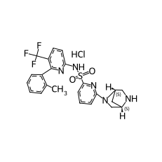 Cc1ccccc1-c1nc(NS(=O)(=O)c2cccc(N3C[C@@H]4C[C@H]3CN4)n2)ccc1C(F)(F)F.Cl